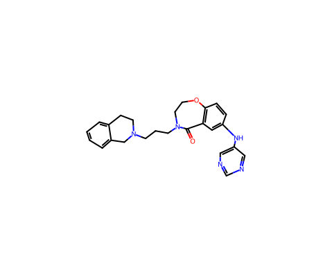 O=C1c2cc(Nc3cncnc3)ccc2OCCN1CCCN1CCc2ccccc2C1